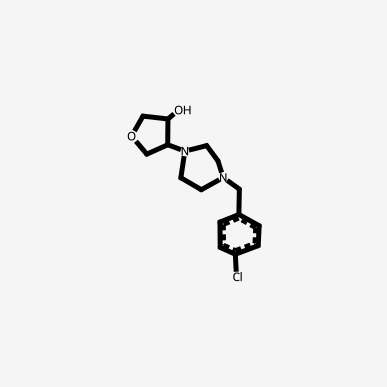 OC1COCC1N1CCN(Cc2ccc(Cl)cc2)CC1